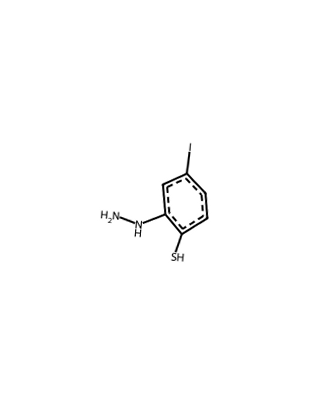 NNc1cc(I)ccc1S